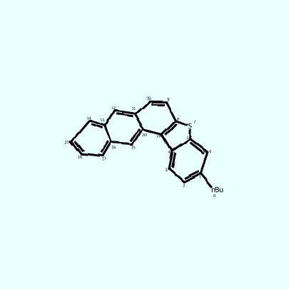 CCCCc1ccc2c(c1)sc1ccc3cc4ccccc4cc3c12